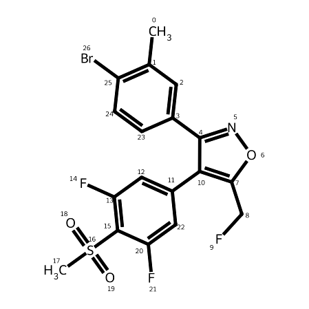 Cc1cc(-c2noc(CF)c2-c2cc(F)c(S(C)(=O)=O)c(F)c2)ccc1Br